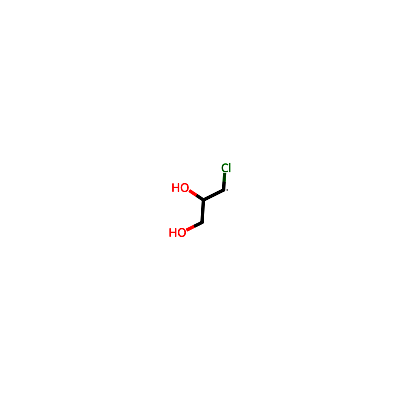 OCC(O)[CH]Cl